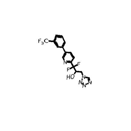 OC(Cn1cnnn1)C(F)(F)c1ccc(-c2cccc(C(F)(F)F)c2)cn1